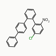 O=[N+]([O-])c1ccc(Cl)cc1-c1ccccc1-c1ccc(-c2ccccc2)cc1